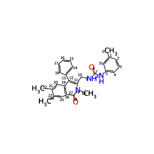 Cc1cccc(NC(=O)NCc2c(-c3ccccc3)c3cc(C)c(C)cc3c(=O)n2C)c1